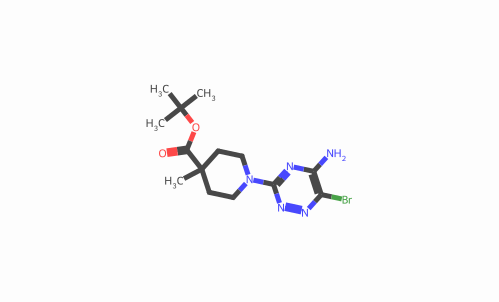 CC(C)(C)OC(=O)C1(C)CCN(c2nnc(Br)c(N)n2)CC1